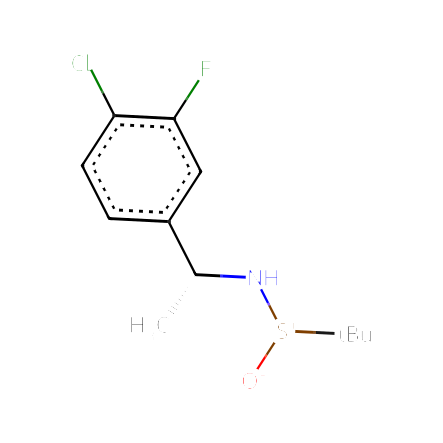 C[C@@H](N[S+]([O-])C(C)(C)C)c1ccc(Cl)c(F)c1